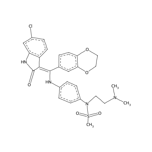 CN(C)CCN(c1ccc(N/C(=C2\C(=O)Nc3cc(Cl)ccc32)c2ccc3c(c2)OCCO3)cc1)S(C)(=O)=O